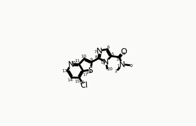 CN(C)C(=O)c1cnc(-c2cc3nccc(Cl)c3s2)n1C